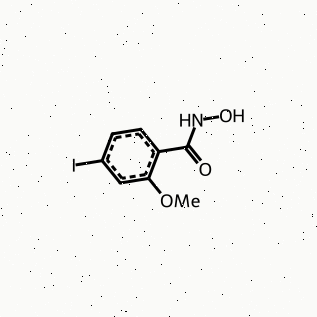 COc1cc(I)ccc1C(=O)NO